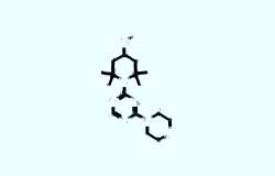 CCCCNC1CC(C)(C)N(c2ncnc(N3CCOCC3)n2)C(C)(C)C1